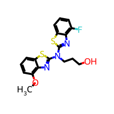 COc1cccc2sc(N(CCCO)c3nc4c(F)cccc4s3)nc12